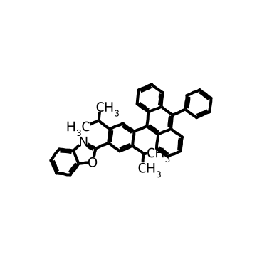 CC(C)c1cc(-c2c3ccccc3c(-c3ccccc3)c3ccccc23)c(C(C)C)cc1-c1nc2ccccc2o1